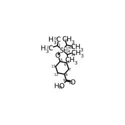 CC(C)[Si](OC1CCC(C(=O)O)CC1)(C(C)C)C(C)C